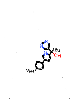 COc1ccc(-c2ccc(C(O)(c3cncnc3)C(C)(C)C)nc2)cc1